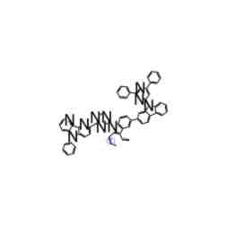 C=Cc1c(/C=C\C)n(-c2ncnc(-c3ccc4c(n3)c3ncccc3n4-c3ccccc3)n2)c2ccc(-c3ccc4c5ccccc5n(-c5cc(-c6ccccc6)nc(-c6ccccc6)n5)c4c3)cc12